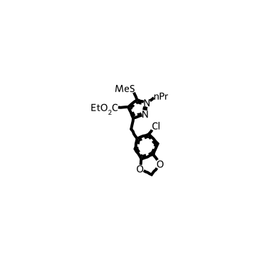 CCCn1nc(Cc2cc3c(cc2Cl)OCO3)c(C(=O)OCC)c1SC